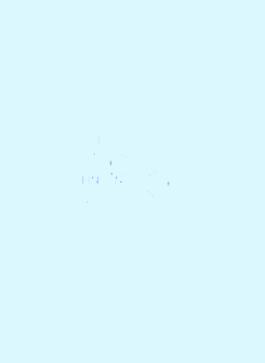 CCc1ccc(-c2ccc(C(F)(F)F)c(N[C@H](C)CCO)n2)cc1